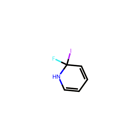 FC1(I)C=CC=CN1